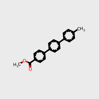 COC(=O)c1ccc(-c2ccc(-c3ccc(C)cc3)cc2)cc1